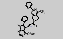 COc1ncnc2c1c(/C=C/C(=O)N1CCc3c(nc(-c4ccccc4)nc3C(F)(F)F)C1)c(-c1ccccc1)n2C